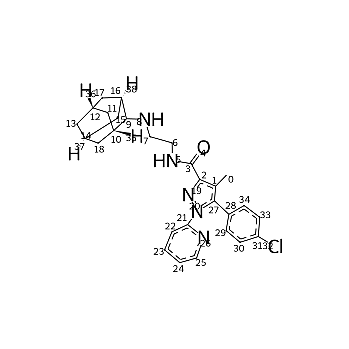 Cc1c(C(=O)NCCNC2[C@H]3C[C@@H]4C[C@@H](C[C@H]2C4)C3)nn(-c2ccccn2)c1-c1ccc(Cl)cc1